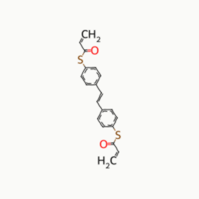 C=CC(=O)Sc1ccc(/C=C/c2ccc(SC(=O)C=C)cc2)cc1